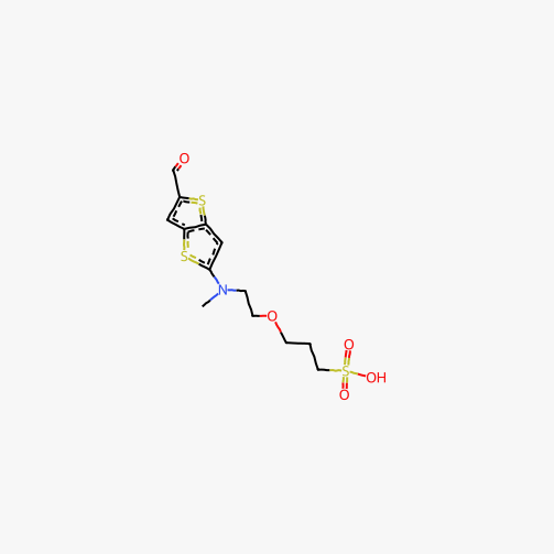 CN(CCOCCCS(=O)(=O)O)c1cc2sc(C=O)cc2s1